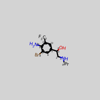 CC(C)NCC(O)c1cc(Br)c(N)c(C(F)(F)F)c1